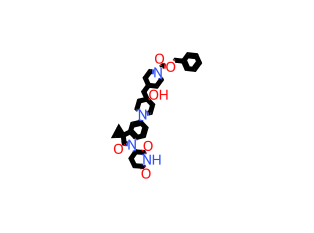 O=C1CCC(N2C(=O)C3(CC3)c3cc(N4CCC(O)(CC5CCN(C(=O)OCc6ccccc6)CC5)CC4)ccc32)C(=O)N1